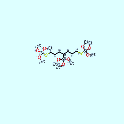 CCO[Si](OCC)(OCC)SCCCC(CCCS[Si](OCC)(OCC)OCC)[Si](OCC)(OCC)OCC